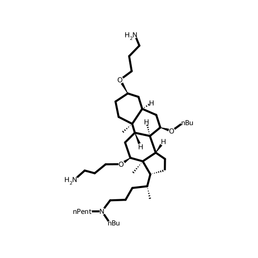 CCCCCN(CCCC)CCC[C@@H](C)[C@H]1CC[C@H]2[C@@H]3[C@H](OCCCC)C[C@@H]4C[C@H](OCCCN)CC[C@]4(C)[C@H]3C[C@H](OCCCN)[C@]12C